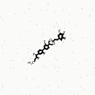 CCC/C(F)=C(\F)c1ccc(-c2ccc(C3COC(CCc4cc(F)c(F)c(F)c4)OC3)c(F)c2)c(F)c1